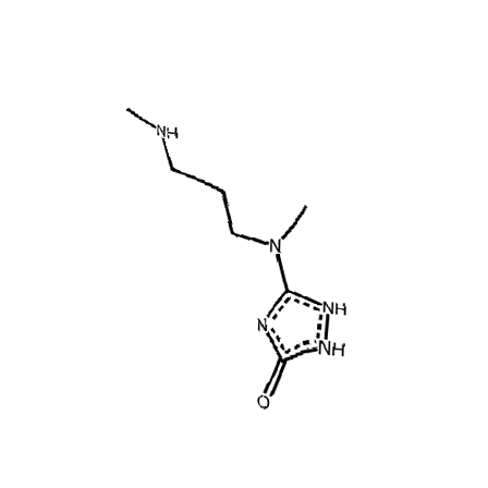 CNCCCN(C)c1nc(=O)[nH][nH]1